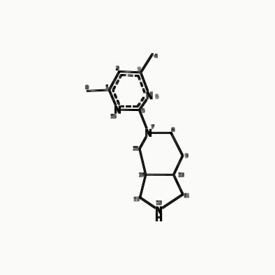 Cc1cc(C)nc(N2CCC3CNCC3C2)n1